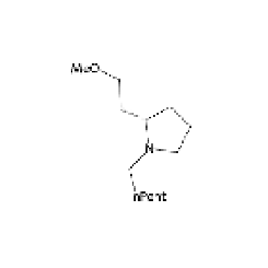 CCCCCCN1CCC[C@H]1CCOC